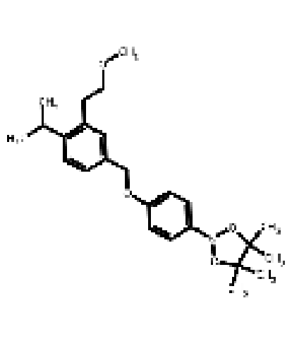 COCCc1cc(COc2ccc(B3OC(C)(C)C(C)(C)O3)cc2)ccc1C(C)C